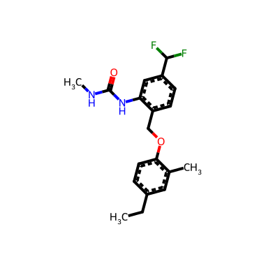 CCc1ccc(OCc2ccc(C(F)F)cc2NC(=O)NC)c(C)c1